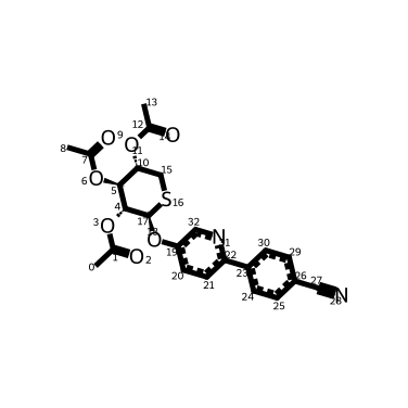 CC(=O)O[C@@H]1[C@@H](OC(C)=O)[C@H](OC(C)=O)CS[C@H]1Oc1ccc(-c2ccc(C#N)cc2)nc1